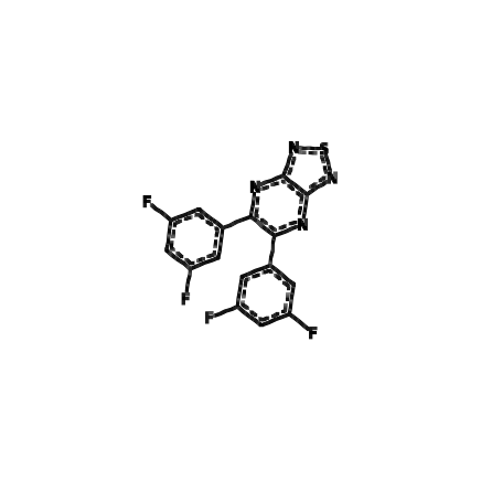 Fc1cc(F)cc(-c2nc3nsnc3nc2-c2cc(F)cc(F)c2)c1